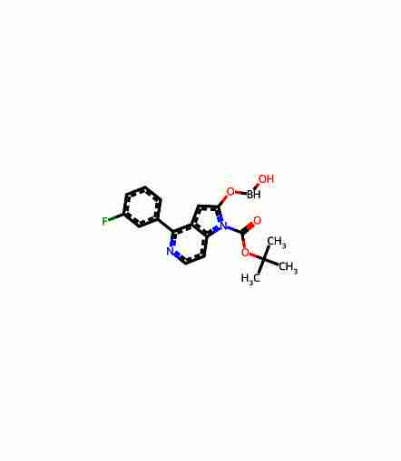 CC(C)(C)OC(=O)n1c(OBO)cc2c(-c3cccc(F)c3)nccc21